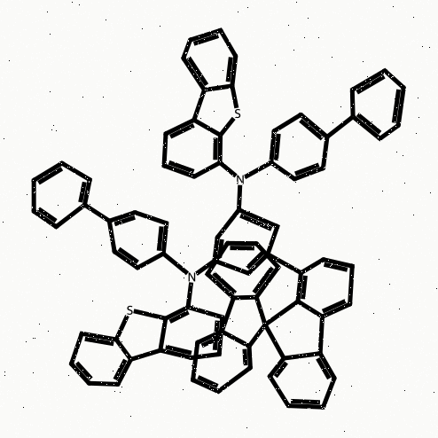 c1ccc(-c2ccc(N(c3cc(-c4cccc5c4C4(c6ccccc6-c6ccccc64)c4ccccc4-5)cc(N(c4ccc(-c5ccccc5)cc4)c4cccc5c4sc4ccccc45)c3)c3cccc4c3sc3ccccc34)cc2)cc1